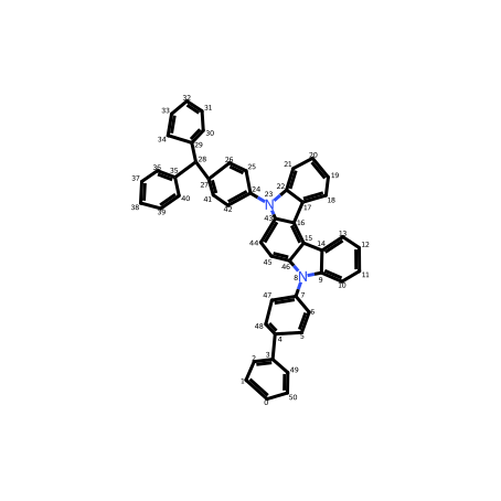 c1ccc(-c2ccc(-n3c4ccccc4c4c5c6ccccc6n(-c6ccc(C(c7ccccc7)c7ccccc7)cc6)c5ccc43)cc2)cc1